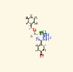 CC[C@H](N=C(NN)c1ccc(Br)cc1)[C@H](C)OCc1ccccc1.Cl